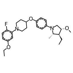 CCOc1ccc(F)c(N2CCC(Oc3ccc(N4C[C@H](OC)[C@@H](CC)[C@@H]4C)cc3)CC2)c1